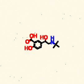 CC(C)(C)NCC(O)c1ccc(O)c(C(=O)O)c1